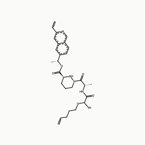 C=CCCCOC(C(=O)N[C@@H](C)C(=O)N1CCC[C@@H](C(=O)O[C@H](C)c2ccc3cnc(C=C)cc3c2)N1)C(C)C